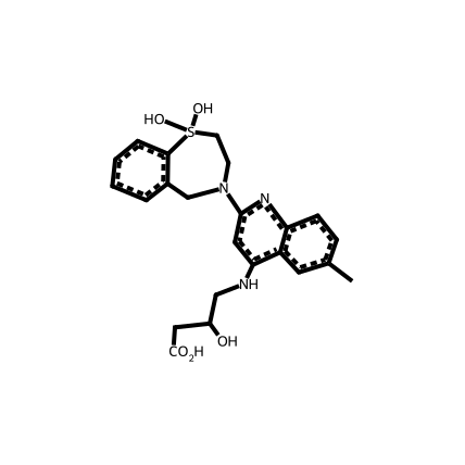 Cc1ccc2nc(N3CCS(O)(O)c4ccccc4C3)cc(NCC(O)CC(=O)O)c2c1